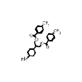 CCCC1CCC(C(COC(=O)c2ccc(C(F)(F)F)cc2)COC(=O)c2ccc(C(F)(F)F)cc2)CC1